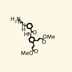 COC(=O)C=Cc1ccc(NC(=O)c2cccc(NC=NN)c2)cc1C=CC(=O)OC